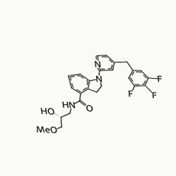 COC[C@H](O)CNC(=O)c1cccc2c1CCN2c1cc(Cc2cc(F)c(F)c(F)c2)ccn1